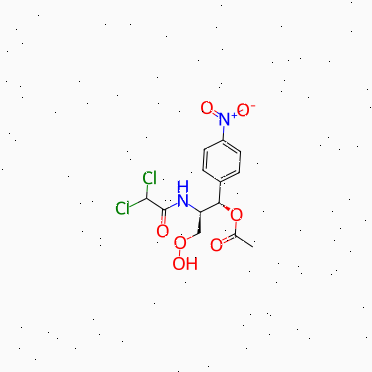 CC(=O)O[C@H](c1ccc([N+](=O)[O-])cc1)[C@@H](COO)NC(=O)C(Cl)Cl